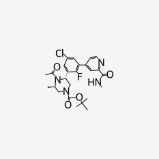 CNC(=O)c1cc(-c2cc(Cl)cc([C@@H]3CN(C(=O)OC(C)(C)C)C[C@@H](C)N3C(C)=O)c2F)ccn1